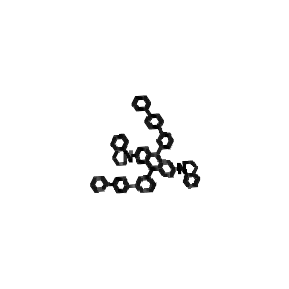 c1ccc(-c2ccc(-c3cccc(-c4c5ccc(N6CCCc7ccccc76)cc5c(-c5cccc(-c6ccc(-c7ccccc7)cc6)c5)c5ccc(N6CCCc7ccccc76)cc45)c3)cc2)cc1